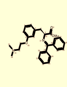 COC(=O)[C@H](Cc1cccc(OCCN(C)C)c1)N=C(c1ccccc1)c1ccccc1